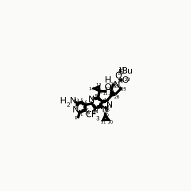 Cc1nc(N)cc(-c2nc(C3(CO)CC3)c3c(C4C5CN(C(=O)OC(C)(C)C)CC54)nn(C4CC4)c3c2F)c1C(F)(F)F